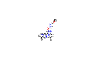 CCOCCCNCC(=O)NCCC(CC)N(Cc1ncccc1C)Cc1ncccc1CC